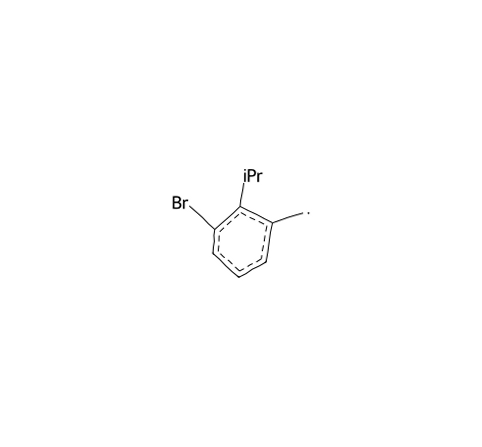 [CH2]c1cccc(Br)c1C(C)C